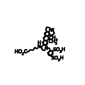 CC1(C)c2cc3c(cc2C=c2cc4c5c(c21)CCC[N+]=5CCC4)C(NCCCCCC(=O)O)CCN3Cc1ccc(S(=O)(=O)O)cc1S(=O)(=O)O